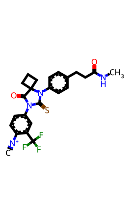 [C-]#[N+]c1ccc(N2C(=O)C3(CCC3)N(c3ccc(CCC(=O)NC)cc3)C2=S)cc1C(F)(F)F